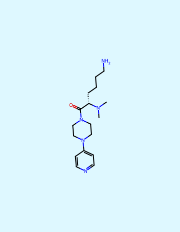 CN(C)[C@@H](CCCCN)C(=O)N1CCN(c2ccncc2)CC1